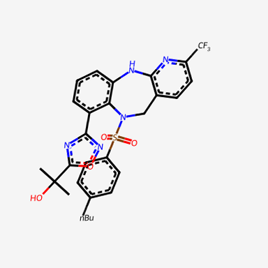 CCCCc1ccc(S(=O)(=O)N2Cc3ccc(C(F)(F)F)nc3Nc3cccc(-c4noc(C(C)(C)O)n4)c32)cc1